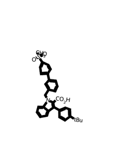 CC(C)(C)c1ccc(-c2c(C(=O)O)n(Cc3cccc(-c4ccc(S(C)(=O)=O)cc4)c3)c3ccccc23)cc1